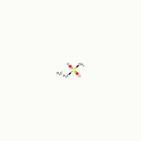 C.CS(C)(=O)=O